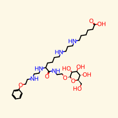 O=C(O)CCCCCNCCCNCCCCC(NCCNCCOc1ccccc1)C(=O)NCCO[C@H]1O[C@H](CO)[C@@H](O)[C@H](O)[C@@H]1O